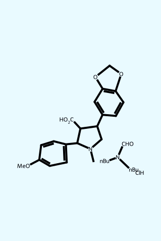 CCCCN(C=O)CCCC.COc1ccc(C2C(C(=O)O)C(c3ccc4c(c3)OCO4)CN2C)cc1.Cl